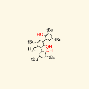 Cc1c(C(C)(C)C)cc(-c2cc(C(C)(C)C)cc(C(C)(C)C)c2O)c(O)c1-c1cc(C(C)(C)C)cc(C(C)(C)C)c1O